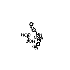 O=C(NCCC1CCN(Cc2ccccc2)CC1)c1noc(Cc2ccc([N+](=O)[O-])cc2)n1.O=C(O)C=CC(=O)O